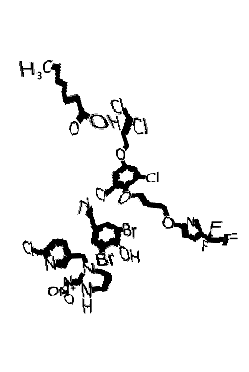 CCCCCCC(=O)O.FC(F)(F)c1ccc(OCCCOc2c(Cl)cc(OCC=C(Cl)Cl)cc2Cl)nc1.N#Cc1cc(Br)c(O)c(Br)c1.O=[N+]([O-])/N=C1\NCCN1Cc1ccc(Cl)nc1